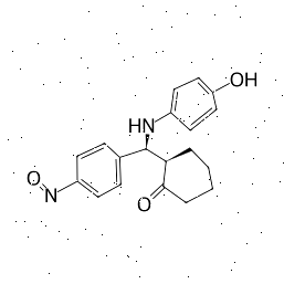 O=Nc1ccc([C@@H](Nc2ccc(O)cc2)[C@H]2CCCCC2=O)cc1